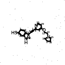 Sc1ccc2c(C#Cc3cc(OCCN4CCCC4)ccn3)n[nH]c2c1